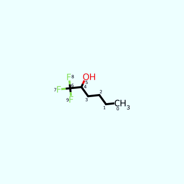 CCCCC(O)C(F)(F)F